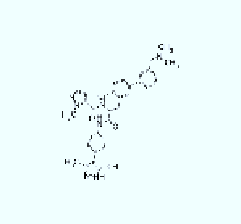 Cc1n[nH]c(C)c1-c1ccc(NC(=O)[C@H](Cc2cc(-c3cccc(CN(C)C)c3)ccc2Cl)NC(=O)c2ccnn2C)cc1